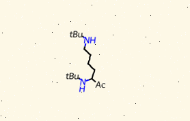 CC(=O)C(CCCCNC(C)(C)C)NC(C)(C)C